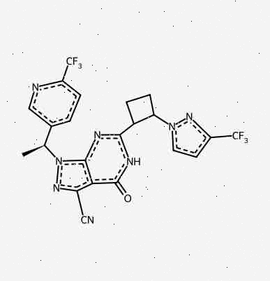 C[C@@H](c1ccc(C(F)(F)F)nc1)n1nc(C#N)c2c(=O)[nH]c(C3CCC3n3ccc(C(F)(F)F)n3)nc21